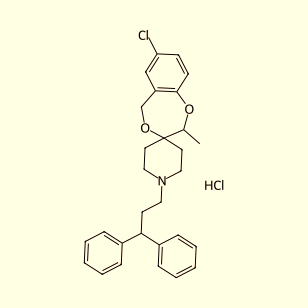 CC1Oc2ccc(Cl)cc2COC12CCN(CCC(c1ccccc1)c1ccccc1)CC2.Cl